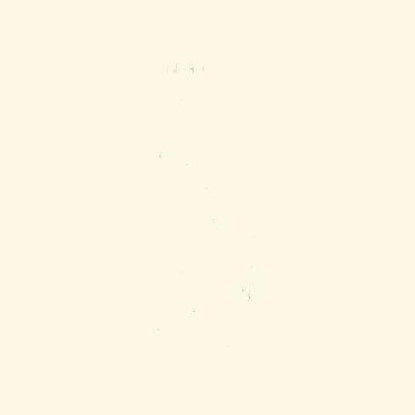 CCCCCc1ccc(C#Cc2cc(F)c(F)nc2Cl)cc1